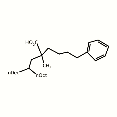 CCCCCCCCCCC(CCCCCCCC)CC(C)(CCCCc1ccccc1)C(=O)O